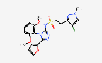 COc1cccc(OC)c1-n1c(NS(=O)(=O)CCc2nn(C)cc2Cl)nnc1-c1ccco1